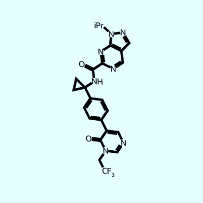 CC(C)n1ncc2cnc(C(=O)NC3(c4ccc(-c5cncn(CC(F)(F)F)c5=O)cc4)CC3)nc21